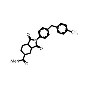 CNC(=O)C1CCC2C(=O)N(c3ccc(Cc4ccc(C)cc4)cc3)C(=O)C2C1